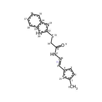 Cc1ccc(/C=N/NC(=O)CSc2nc3ccccc3[nH]2)s1